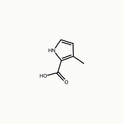 Cc1cc[nH]c1C(=O)O